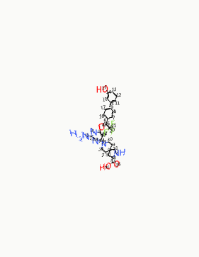 Nc1nc(O[C@H](c2ccc(-c3cccc(O)c3)cc2)C(F)(F)F)cc(N2CCC3(CC2)CN[C@H](C(=O)O)C3)n1